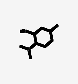 CCCC1CC(C)CCC1N(C)C